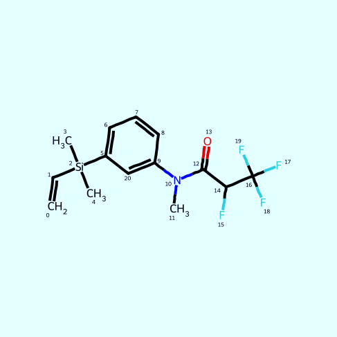 C=C[Si](C)(C)c1cccc(N(C)C(=O)C(F)C(F)(F)F)c1